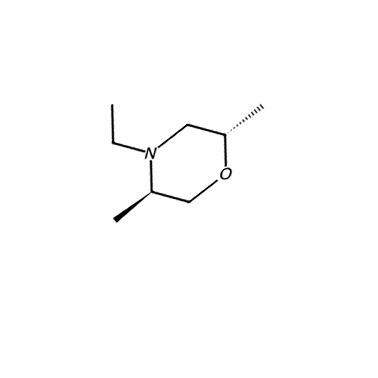 CCN1C[C@H](C)OC[C@H]1C